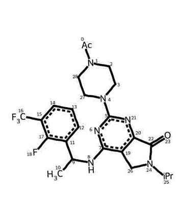 CC(=O)N1CCN(c2nc(NC(C)c3cccc(C(F)(F)F)c3F)c3c(n2)C(=O)N(C(C)C)C3)CC1